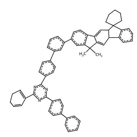 CC1(C)C2=CC3c4ccccc4C4(CCCCC4)C3C=C2c2ccc(-c3cccc(-c4ccc(-c5nc(C6=CCCC=C6)nc(-c6ccc(-c7ccccc7)cc6)n5)cc4)c3)cc21